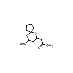 COC(=O)CC1CC(C=O)OC2(CCCC2)O1